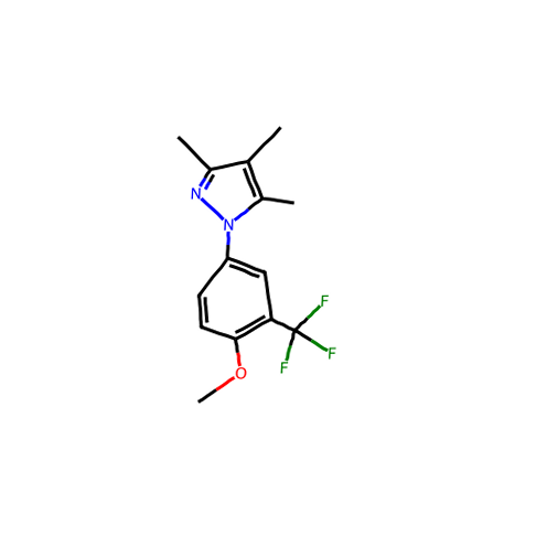 COc1ccc(-n2nc(C)c(C)c2C)cc1C(F)(F)F